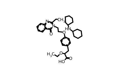 C1CCC(NC2CCCCC2)CC1.CCOC(Cc1ccc(OCCn2c(CC)nc3ccccc3c2=O)cc1)C(=O)O